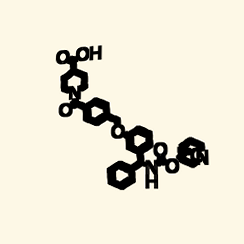 O=C(N[C@@H](c1ccccc1)c1cccc(OCc2ccc(C(=O)N3CCC(C(=O)O)CC3)cc2)c1)OC1CN2CCC1CC2